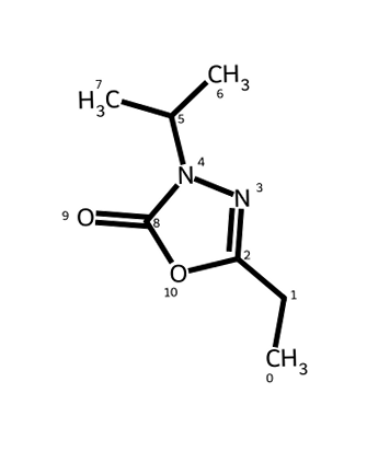 CCc1nn(C(C)C)c(=O)o1